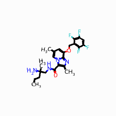 CCCC(C)(N)CNC(=O)c1c(C)nc2c(OCc3c(F)c(F)cc(F)c3F)cc(C)cn12